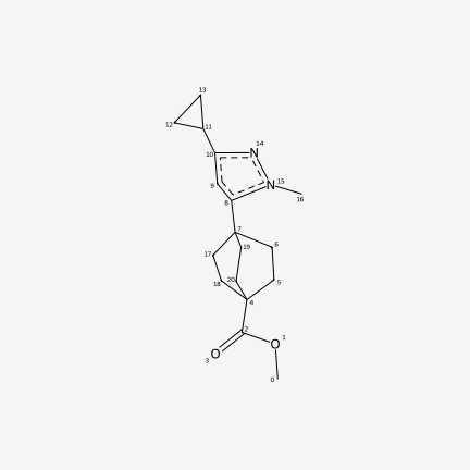 COC(=O)C12CCC(c3cc(C4CC4)nn3C)(CC1)CC2